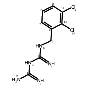 N=C(N)NC(=N)NCc1cccc(Cl)c1Cl